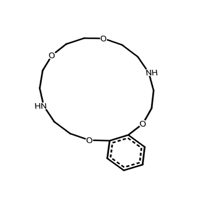 c1ccc2c(c1)OCCNCCOCCOCCNCCO2